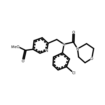 COC(=O)c1ccc(CN(C(=O)N2CCOCC2)c2cccc(Cl)c2)nc1